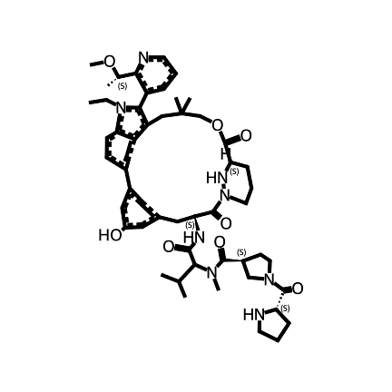 CCn1c(-c2cccnc2[C@H](C)OC)c2c3cc(ccc31)-c1cc(O)cc(c1)C[C@H](NC(=O)C(C(C)C)N(C)C(=O)[C@H]1CCN(C(=O)[C@@H]3CCCN3)C1)C(=O)N1CCC[C@H](N1)C(=O)OCC(C)(C)C2